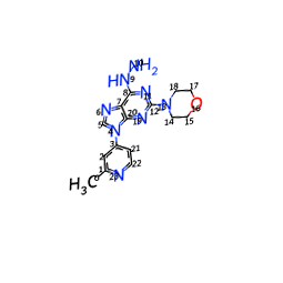 Cc1cc(-n2cnc3c(NN)nc(N4CCOCC4)nc32)ccn1